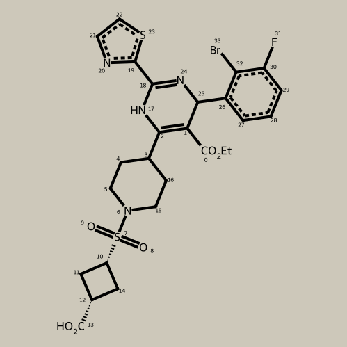 CCOC(=O)C1=C(C2CCN(S(=O)(=O)[C@H]3C[C@@H](C(=O)O)C3)CC2)NC(c2nccs2)=NC1c1cccc(F)c1Br